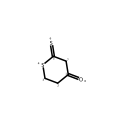 O=C1CCSC(=S)C1